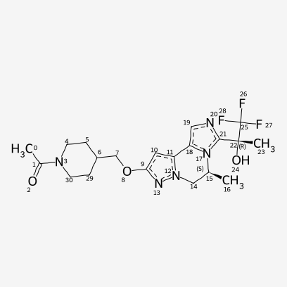 CC(=O)N1CCC(COc2cc3n(n2)C[C@H](C)n2c-3cnc2[C@@](C)(O)C(F)(F)F)CC1